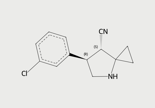 N#C[C@H]1[C@H](c2cccc(Cl)c2)CNC12CC2